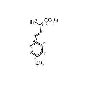 Cc1ccc(C=CC(C(=O)O)C(C)C)cc1